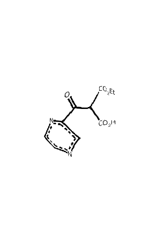 CCOC(=O)C(C(=O)O)C(=O)c1cnccn1